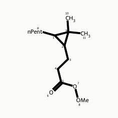 CCCCCC1C(CCC(=O)OOC)C1(C)C